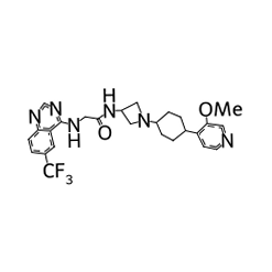 COc1cnccc1C1CCC(N2CC(NC(=O)CNc3ncnc4ccc(C(F)(F)F)cc34)C2)CC1